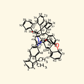 CC1(C)c2ccccc2-c2ccc(N(c3ccc4c(c3)C3(c5ccccc5-c5ccccc5-4)c4ccccc4-c4c3c3ccccc3c3ccccc43)c3ccc4oc5ccccc5c4c3)cc21